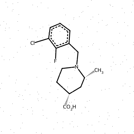 C[C@@H]1C[C@H](C(=O)O)CCN1Cc1cccc(Cl)c1F